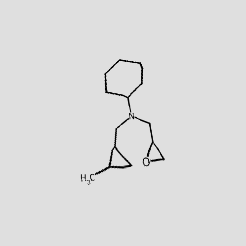 CC1CC1CN(CC1CO1)C1CCCCC1